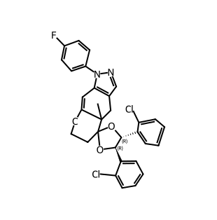 CC12Cc3cnn(-c4ccc(F)cc4)c3C=C1CCCC21O[C@H](c2ccccc2Cl)[C@@H](c2ccccc2Cl)O1